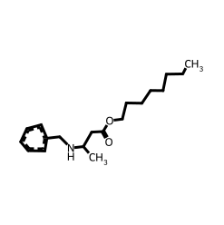 CCCCCCCCOC(=O)CC(C)NCc1ccccc1